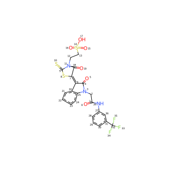 O=C(CN1C(=O)C(=C2SC(=S)N(CCS(=O)(=O)O)C2=O)c2ccccc21)Nc1cccc(C(F)(F)F)c1